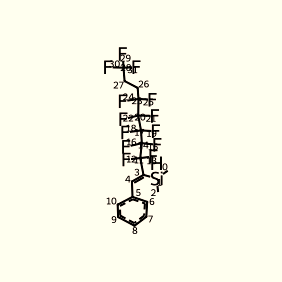 C[SiH](C)C(=Cc1ccccc1)C(F)(F)C(F)(F)C(F)(F)C(F)(F)C(F)(F)CCC(F)(F)F